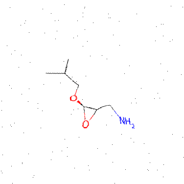 CC(C)CO[C@@H]1OC1CN